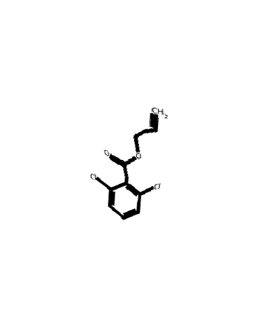 C=CCOC(=O)c1c(Cl)cccc1Cl